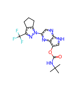 CC(C)(C)NC(=O)Oc1c[nH]c2ncc(-n3nc(C(F)(F)F)c4c3CCC4)nc12